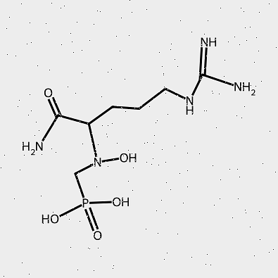 N=C(N)NCCCC(C(N)=O)N(O)CP(=O)(O)O